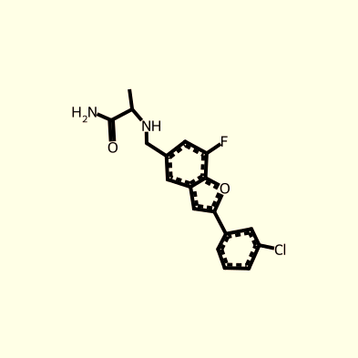 CC(NCc1cc(F)c2oc(-c3cccc(Cl)c3)cc2c1)C(N)=O